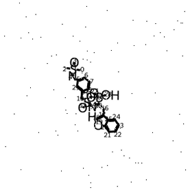 CS(C)(=O)=Nc1cccc(CS(=O)(=O)N[C@@H](Cc2coc3ccccc23)B(O)O)c1